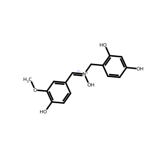 COc1cc(/C=[N+](\O)Cc2ccc(O)cc2O)ccc1O